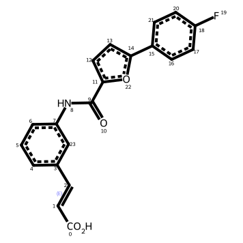 O=C(O)/C=C/c1cccc(NC(=O)c2ccc(-c3ccc(F)cc3)o2)c1